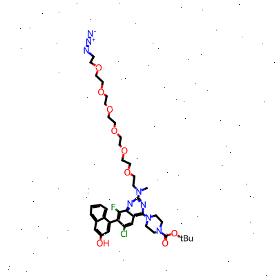 CN(CCOCCOCCOCCOCCOCCOCCN=[N+]=[N-])c1nc(N2CCN(C(=O)OC(C)(C)C)CC2)c2cc(Cl)c(-c3cc(O)cc4ccccc34)c(F)c2n1